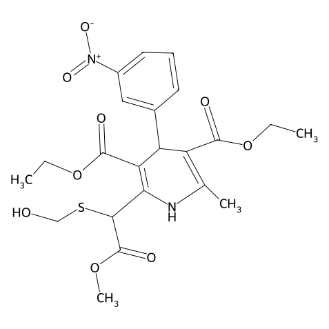 CCOC(=O)C1=C(C)NC(C(SCO)C(=O)OC)=C(C(=O)OCC)C1c1cccc([N+](=O)[O-])c1